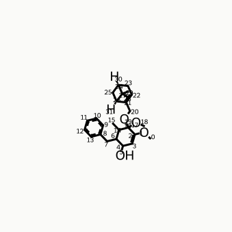 COC1=CC(O)C(Cc2ccccc2)C(C)C1(OC)OCC1=CC[C@H]2C[C@@H]1C2(C)C